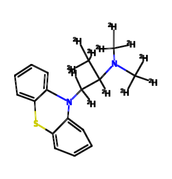 [2H]C([2H])([2H])N(C([2H])([2H])[2H])C([2H])(C([2H])([2H])[2H])C([2H])([2H])N1c2ccccc2Sc2ccccc21